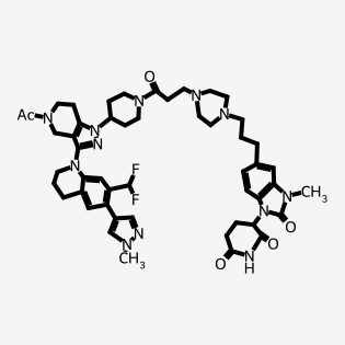 CC(=O)N1CCc2c(c(N3CCCc4cc(-c5cnn(C)c5)c(C(F)F)cc43)nn2C2CCN(C(=O)CCN3CCN(CCCc4ccc5c(c4)n(C)c(=O)n5C4CCC(=O)NC4=O)CC3)CC2)C1